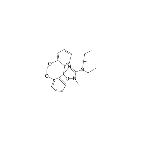 CCN(C1=NC2(ON1C)c1ccccc1OCOc1ccccc12)C(C)(C)CC